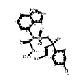 CCC(/C=C/C#N)(CS(=O)(=O)N(C(=O)OC(C)(C)C)c1cccc2[nH]ncc12)c1ccc(Cl)cc1